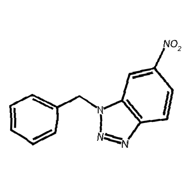 O=[N+]([O-])c1ccc2nnn(Cc3ccccc3)c2c1